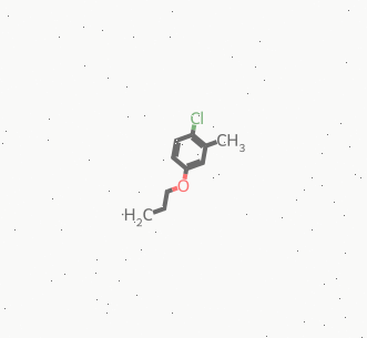 [CH2]CCOc1ccc(Cl)c(C)c1